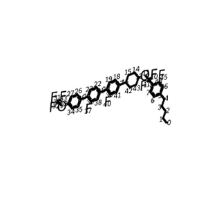 CCCCCc1ccc(C(F)(F)OC2CCC(c3ccc(-c4ccc(-c5ccc(OC(F)(F)F)cc5)c(F)c4)c(F)c3)CC2)c(F)c1